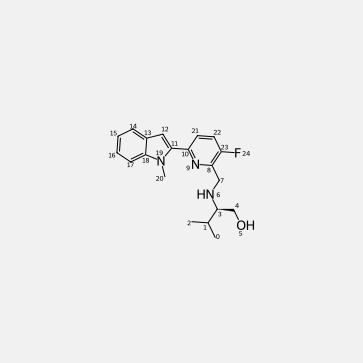 CC(C)[C@H](CO)NCc1nc(-c2cc3ccccc3n2C)ccc1F